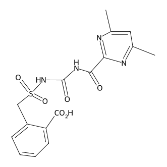 Cc1cc(C)nc(C(=O)NC(=O)NS(=O)(=O)Cc2ccccc2C(=O)O)n1